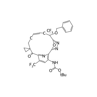 CC(C)(C)OC(=O)Nc1cc(C(F)(F)F)c2nc1-c1nnc(o1)[C@@](OCc1ccccc1)(C(F)(F)F)CC=CCCC1(CC1)C2=O